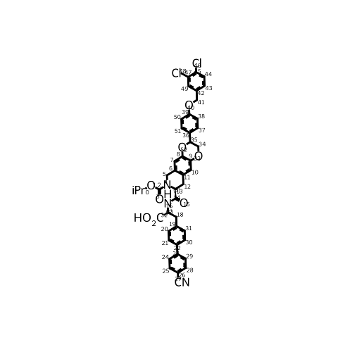 CC(C)OC(=O)N1Cc2cc3c(cc2C[C@H]1C(=O)N[C@@H](Cc1ccc(-c2ccc(C#N)cc2)cc1)C(=O)O)OCC(c1ccc(OCc2ccc(Cl)c(Cl)c2)cc1)O3